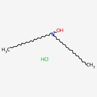 CCCCCCCCCCCCCCCCCCCCCCN(CCO)CCCCCCCCCCCCCCCCCCCCCC.Cl